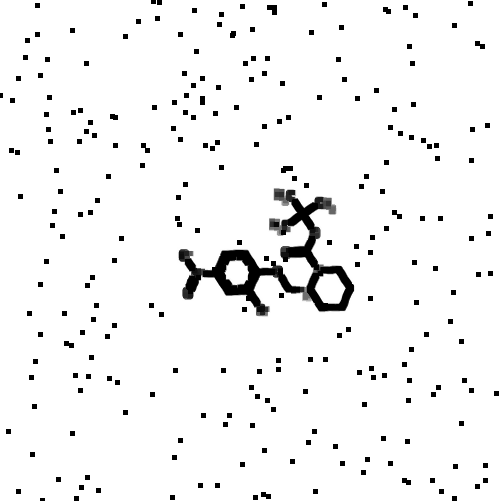 CC(C)(C)OC(=O)N1CCCC[C@@H]1COc1ccc([N+](=O)[O-])cc1Br